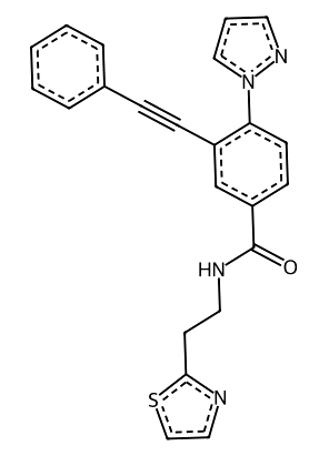 O=C(NCCc1nccs1)c1ccc(-n2cccn2)c(C#Cc2ccccc2)c1